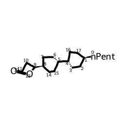 CCCCC[C@H]1CC[C@H]([C@H]2CC[C@H](C3CC(=O)O3)CC2)CC1